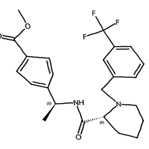 COC(=O)c1ccc([C@H](C)NC(=O)[C@H]2CCCCN2Cc2cccc(C(F)(F)F)c2)cc1